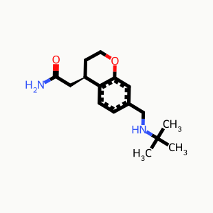 CC(C)(C)NCc1ccc2c(c1)OCC[C@@H]2CC(N)=O